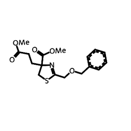 COC(=O)CCC1(C(=O)OC)CSC(COCc2ccccc2)=N1